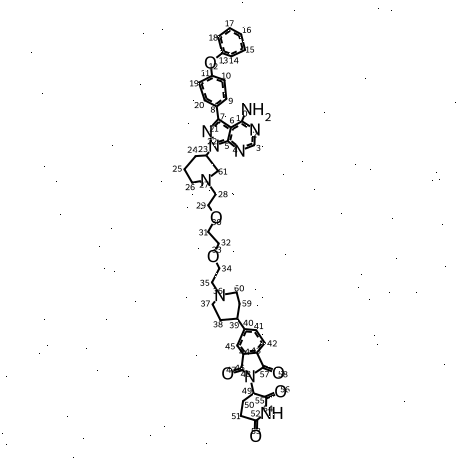 Nc1ncnc2c1c(-c1ccc(Oc3ccccc3)cc1)nn2C1CCCN(CCOCCOCCN2CCC(c3ccc4c(c3)C(=O)N(C3CCC(=O)NC3=O)C4=O)CC2)C1